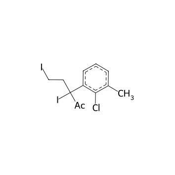 CC(=O)C(I)(CCI)c1cccc(C)c1Cl